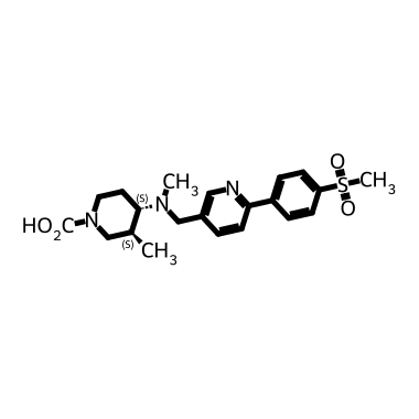 C[C@H]1CN(C(=O)O)CC[C@@H]1N(C)Cc1ccc(-c2ccc(S(C)(=O)=O)cc2)nc1